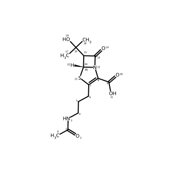 CC(=O)NCCCC1=C(C(=O)O)N2C(=O)C(C(C)(C)O)[C@H]2S1